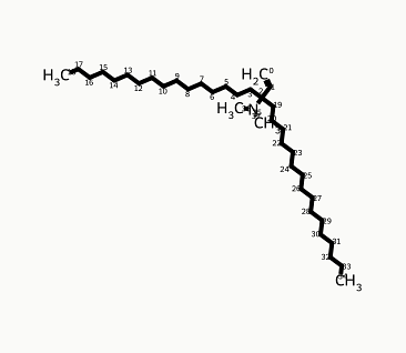 C=CC(CCCCCCCCCCCCCCCC)(CCCCCCCCCCCCCCCC)N(C)C